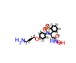 NCC#CCOc1ccc(N2C(CC(=O)NO)c3ccccc3S2(=O)=O)cc1